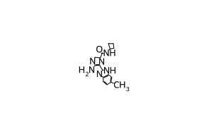 Cc1ccc2nc(-c3nc(C(=O)NC4CCC4)cnc3N)[nH]c2c1